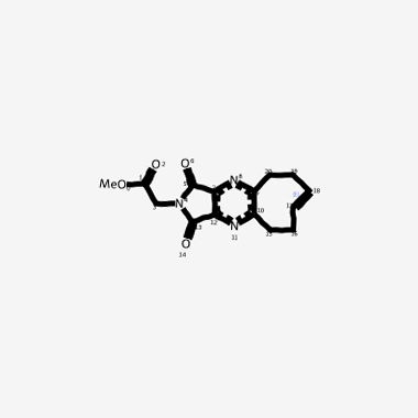 COC(=O)CN1C(=O)c2nc3c(nc2C1=O)CC/C=C/CC3